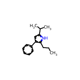 CCCc1[nH]c(C(C)C)cc1-c1ccccc1